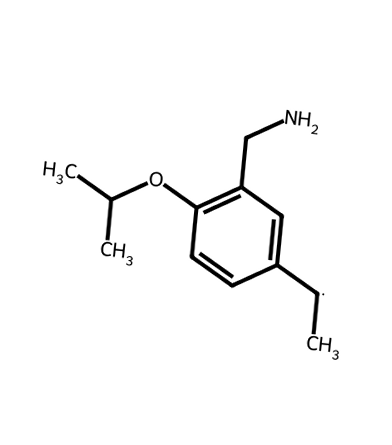 C[CH]c1ccc(OC(C)C)c(CN)c1